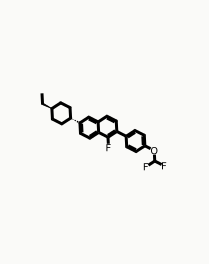 CC[C@H]1CC[C@H](c2ccc3c(F)c(-c4ccc(OC(F)F)cc4)ccc3c2)CC1